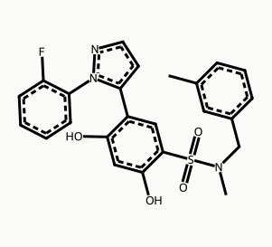 Cc1cccc(CN(C)S(=O)(=O)c2cc(-c3ccnn3-c3ccccc3F)c(O)cc2O)c1